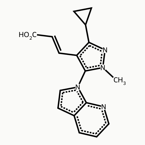 Cn1nc(C2CC2)c(C=CC(=O)O)c1-n1ccc2cccnc21